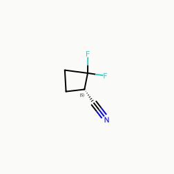 N#C[C@@H]1CCC1(F)F